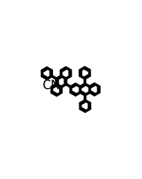 N#Cc1ccccc1-c1c2ccccc2c(-c2ccc3c(-c4ccccc4)c4ccccc4c(-c4ccccc4)c3c2)c2ccccc12